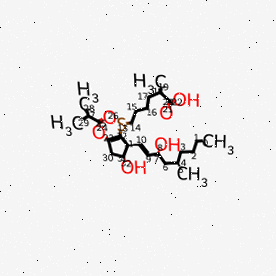 CCCC[C@@H](C)C[C@H](O)C=C[C@@H]1C(SCCCCC(C)C(=O)O)=C(OC(=O)C(C)C)C[C@H]1O